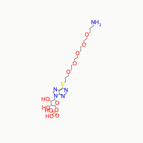 NCCCOCCOCCOCCOCCOCCCSc1ncnc2c1ncn2C1OC(OP(=O)(O)O)C(O)C1O